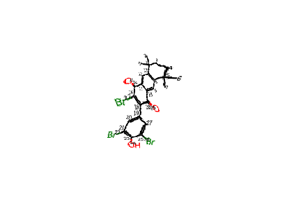 CC1(C)CCC(C)(C)c2cc3c(cc21)C(=O)C(Br)=C(c1cc(Br)c(O)c(Br)c1)C3=O